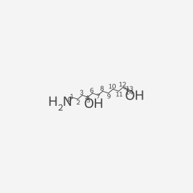 NCCCC(O)CCCCCC/C=C\O